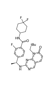 C[C@H](Nc1ncc2ccc(=O)n(CC(C)(C)C)c2n1)c1ccc(C(=O)NC2CCC(F)(F)CC2)c(F)c1